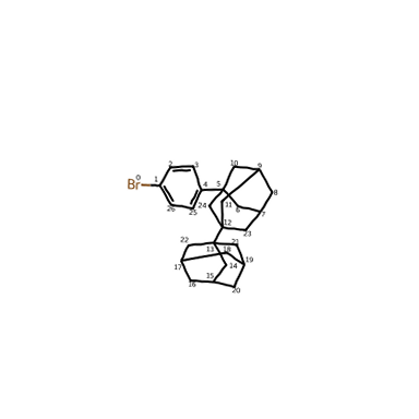 Brc1ccc(C23CC4CC(C2)CC(C25CC6CC(CC(C6)C2)C5)(C4)C3)cc1